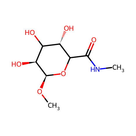 CNC(=O)C1O[C@@H](OC)[C@@H](O)C(O)[C@@H]1O